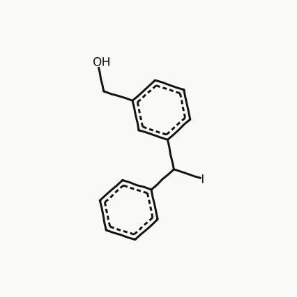 OCc1cccc(C(I)c2ccccc2)c1